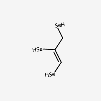 [SeH]C=C([SeH])C[SeH]